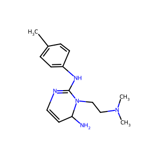 Cc1ccc(NC2=NC=CC(N)N2CCN(C)C)cc1